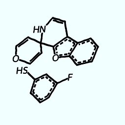 C1=Cc2c(oc3ccccc23)C2(C=COC=C2)N1.Fc1cccc(S)c1